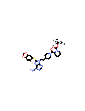 CC(C)(C)OC(=O)N1CCCCC1C(=O)N1CCC(CCn2c(Sc3cc4c(cc3Br)OCO4)nc3c(N)ncnc32)CC1